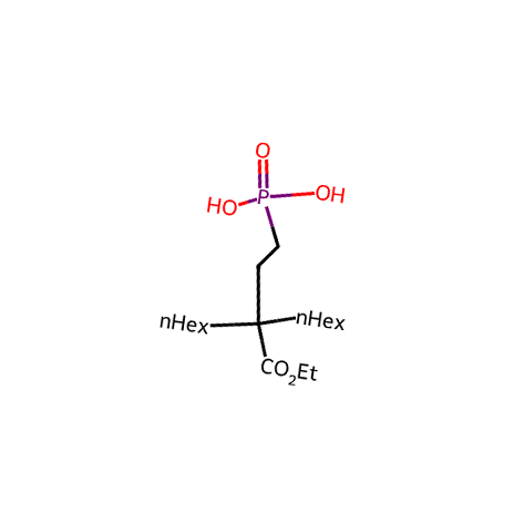 CCCCCCC(CCCCCC)(CCP(=O)(O)O)C(=O)OCC